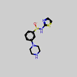 [O-][S+](Nc1nccs1)c1cccc(N2CCNCC2)c1